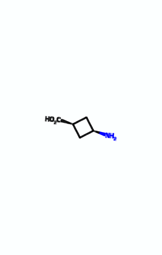 N[C@H]1C[C@@H](C(=O)O)C1